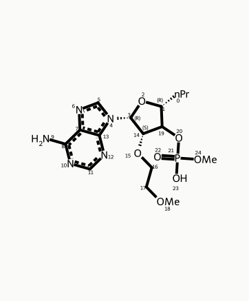 CCC[C@H]1O[C@@H](n2cnc3c(N)ncnc32)[C@@H](OCCOC)C1OP(=O)(O)OC